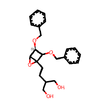 OCC(CO)CCC12OC1[C@@H](OCc1ccccc1)C2OCc1ccccc1